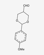 COc1ccc(C2OCC(C=O)CO2)cc1